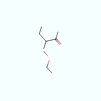 CCO[SiH2]C(CC)C(N)=O